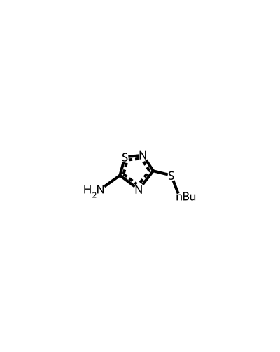 CCCCSc1nsc(N)n1